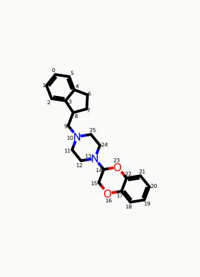 c1ccc2c(c1)CCC2CN1CCN(C2COc3ccccc3O2)CC1